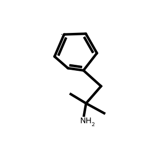 CC(C)(N)Cc1cc[c]cc1